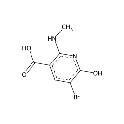 CNc1nc(O)c(Br)cc1C(=O)O